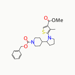 COC(=O)c1csc(N2CCCC2C2CCN(C(=O)OCc3ccccc3)CC2)c1C